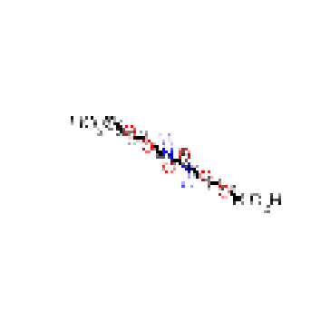 O=C(O)CCOCCOCCNC(=O)C(=O)NCCOCCOCCC(=O)O